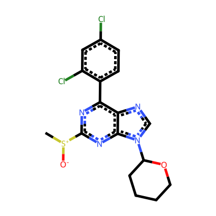 C[S+]([O-])c1nc(-c2ccc(Cl)cc2Cl)c2ncn(C3CCCCO3)c2n1